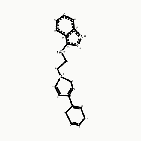 C1=CCC(C2=CCN(CCNc3nsc4ccccc34)C=C2)=CC1